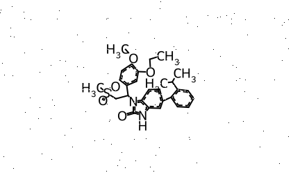 CCOc1cc(C(CS(C)(=O)=O)n2c(=O)[nH]c3cc(-c4ccccc4C(C)C)ccc32)ccc1OC